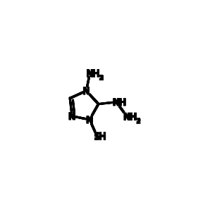 NNC1N(N)C=NN1S